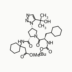 COC(=O)CC1(NC(=O)[C@@H]2C[C@H](n3nncc3C(C)(C)O)CN2C(=O)[C@@H](CC2CCCCC2)NC(=O)OC(C)(C)C)CCCCC1